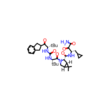 CC(C)(C)[C@H](NC(=O)N[C@H](C(=O)N1C[C@H]2[C@@H]([C@H]1C(=O)N[C@@H](CC1CC1)C(=O)C(N)=O)C2(C)C)C(C)(C)C)C(=O)C1Cc2ccccc2C1